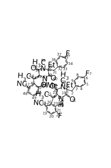 CCC1(Cc2ccc(F)cc2)C(=O)NC(=C(C)c2c(C#N)ccc(F)c2F)C(=O)N1C.CCC1(Cc2ccc(F)cc2)C(=O)NC(=C(C)c2c(C#N)cccc2OC)C(=O)N1C